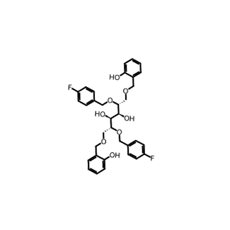 Oc1ccccc1COC[C@@H](OCc1ccc(F)cc1)[C@@H](O)[C@H](O)[C@@H](COCc1ccccc1O)OCc1ccc(F)cc1